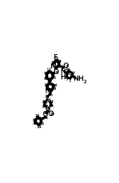 NC1CCC(NC(=O)c2cc(F)cnc2Oc2cccc(-c3ccc(CCN4CCN(C(=O)OCc5ccccc5)CC4)cc3)c2)CC1